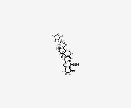 C=C1CCC2C3CO[C@@H](C4CCCC4)O[C@@H]3CC[C@@]2(C)[C@@H]1CCOc1cccc(F)c1C(=O)O